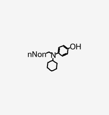 CCCCCCCCCCN(c1ccc(O)cc1)C1CCCCC1